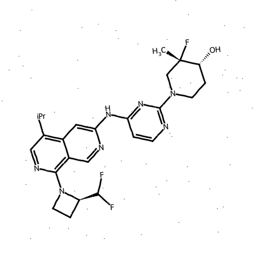 CC(C)c1cnc(N2CC[C@@H]2C(F)F)c2cnc(Nc3ccnc(N4CC[C@@H](O)[C@@](C)(F)C4)n3)cc12